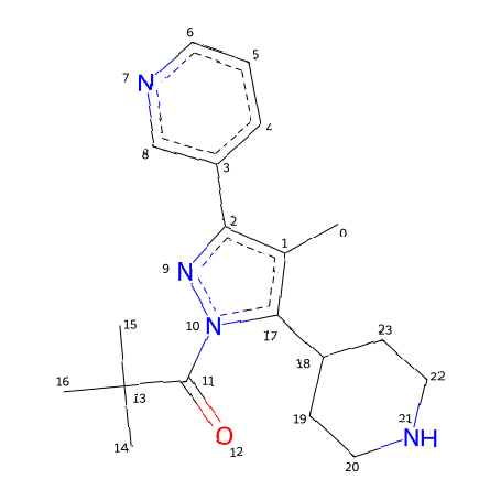 Cc1c(-c2cccnc2)nn(C(=O)C(C)(C)C)c1C1CCNCC1